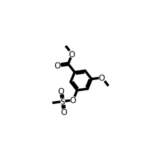 COC(=O)c1cc(OC)cc(OS(C)(=O)=O)c1